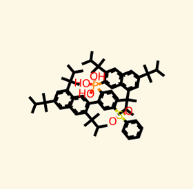 CC(C)C(C)(C)c1cc(C(C)(C)C(C)C)c2cc(-c3cc(S(=O)(=O)c4ccccc4)ccc3P(O)(O)(O)c3cc4c(C(C)(C)C(C)C)cc(C(C)(C)C(C)C)cc4cc3C(C)(C)C(C)C)c(C(C)(C)C(C)C)cc2c1